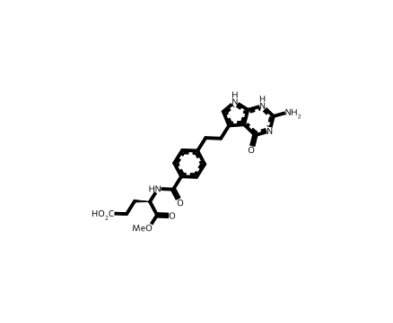 COC(=O)[C@@H](CCC(=O)O)NC(=O)c1ccc(CCc2c[nH]c3[nH]c(N)nc(=O)c23)cc1